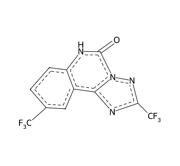 O=c1[nH]c2ccc(C(F)(F)F)cc2c2nc(C(F)(F)F)nn12